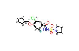 O=C(NS(=O)(=O)N1CCCC1)c1cc(Cl)c(OCC2CCCC2)cc1F